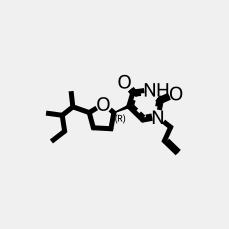 C=CCn1cc([C@H]2CCC(C(C)C(C)CC)O2)c(=O)[nH]c1=O